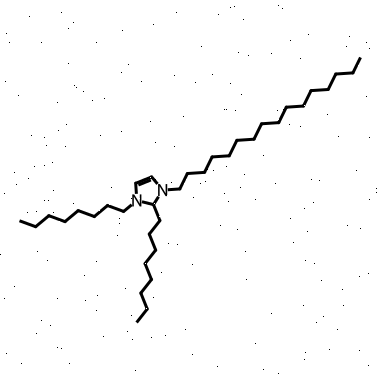 CCCCCCCCCCCCCCCCN1C=CN(CCCCCCCC)C1CCCCCCCC